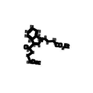 CCCCCCCCCCCCC(=O)c1cn(CCCC(=O)OCC)c2ccccc12